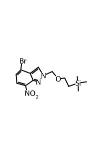 C[Si](C)(C)CCOCn1cc2c(Br)ccc([N+](=O)[O-])c2n1